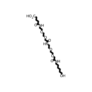 O=C(O)CCCC(=O)NCCOCCOCC(=O)NCCOCCOCC(=O)NCCCCCCO